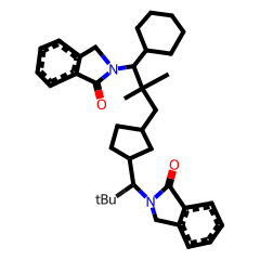 CC(C)(C)C(C1CCC(CC(C)(C)C(C2CCCCC2)N2Cc3ccccc3C2=O)C1)N1Cc2ccccc2C1=O